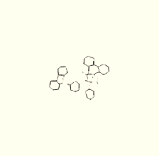 c1ccc(-c2nc3c4ccccc4c4ccccc4c3nc2-c2cccc(-n3c4ccccc4c4ccccc43)c2)cc1